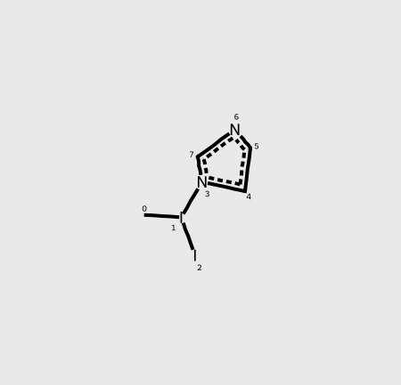 CI(I)n1ccnc1